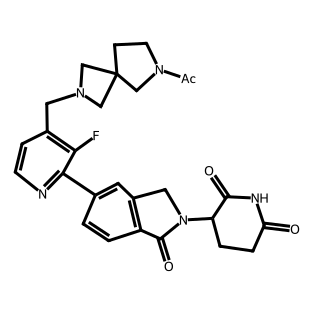 CC(=O)N1CCC2(CN(Cc3ccnc(-c4ccc5c(c4)CN(C4CCC(=O)NC4=O)C5=O)c3F)C2)C1